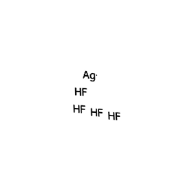 F.F.F.F.[Ag]